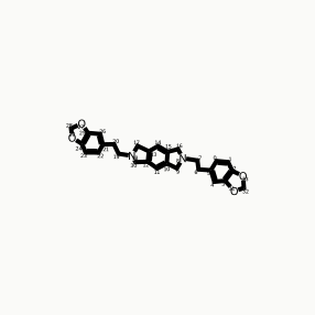 c1cc2c(cc1CCN1Cc3cc4c(cc3C1)CN(CCc1ccc3c(c1)OCO3)C4)OCO2